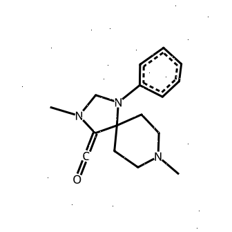 CN1CCC2(CC1)C(=C=O)N(C)CN2c1ccccc1